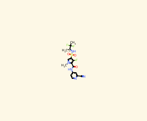 C[C@H](NS(=O)(=O)c1cn(C)c(C(=O)Nc2ccnc(C#N)c2)c1F)C(C)(F)F